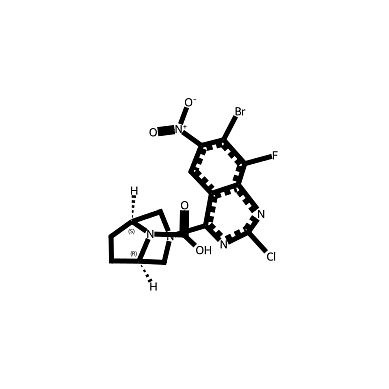 O=C(O)N1[C@@H]2CC[C@H]1CN(c1nc(Cl)nc3c(F)c(Br)c([N+](=O)[O-])cc13)C2